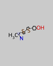 C/C(C#N)=C/c1ccc(-c2ccc(-c3ccc(O)cc3)s2)s1